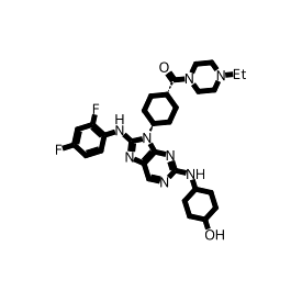 CCN1CCN(C(=O)[C@H]2CC[C@@H](n3c(Nc4ccc(F)cc4F)nc4cnc(NC5CCC(O)CC5)nc43)CC2)CC1